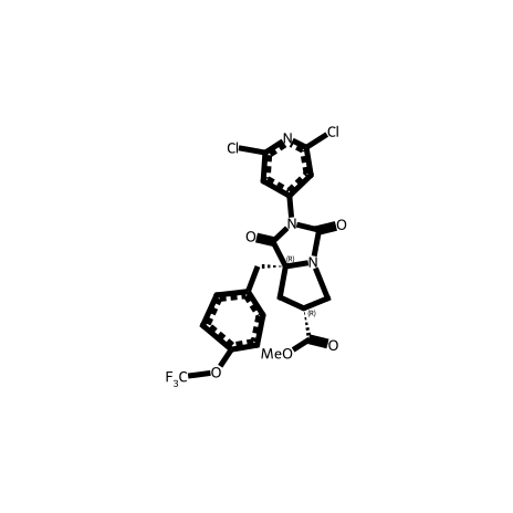 COC(=O)[C@H]1CN2C(=O)N(c3cc(Cl)nc(Cl)c3)C(=O)[C@]2(Cc2ccc(OC(F)(F)F)cc2)C1